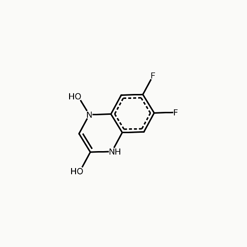 OC1=CN(O)c2cc(F)c(F)cc2N1